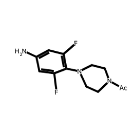 CC(=O)N1CCN(c2c(F)cc(N)cc2F)CC1